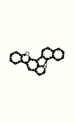 c1ccc2c(c1)ccc1c3c4oc5ccccc5c4cc4ccn(c21)c43